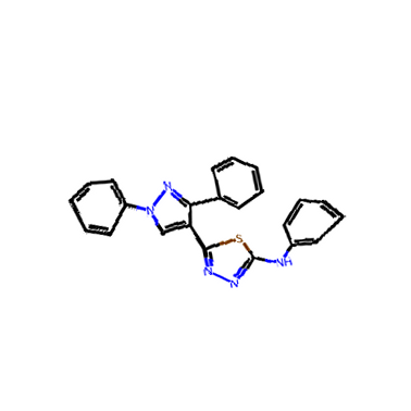 c1ccc(Nc2nnc(-c3cn(-c4ccccc4)nc3-c3ccccc3)s2)cc1